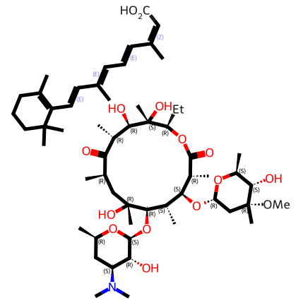 CC1=C(/C=C/C(C)=C/C=C/C(C)=C\C(=O)O)C(C)(C)CCC1.CC[C@H]1OC(=O)[C@H](C)[C@@H](O[C@H]2C[C@@](C)(OC)[C@@H](O)[C@H](C)O2)[C@H](C)[C@@H](O[C@@H]2O[C@H](C)C[C@H](N(C)C)[C@H]2O)[C@](C)(O)C[C@@H](C)C(=O)[C@H](C)[C@@H](O)[C@]1(C)O